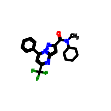 CN(C(=O)c1cc2nc(C(F)(F)F)cc(-c3ccccc3)n2n1)C1CCCCC1